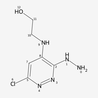 NNc1nnc(Cl)cc1NCCO